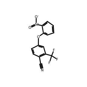 N#Cc1ccc(Oc2ccccc2[N+](=O)[O-])cc1C(F)(F)F